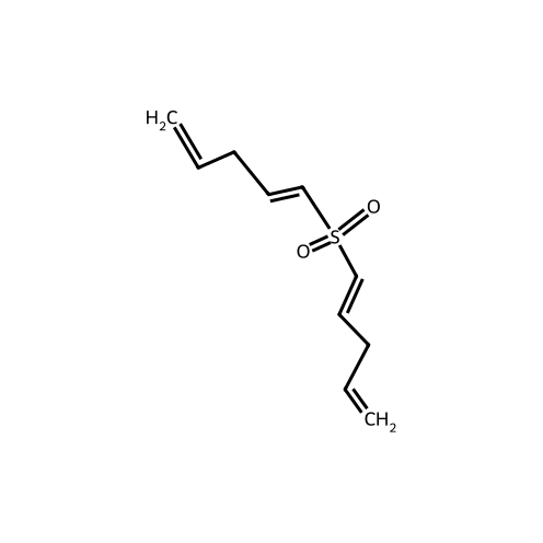 C=CCC=CS(=O)(=O)C=CCC=C